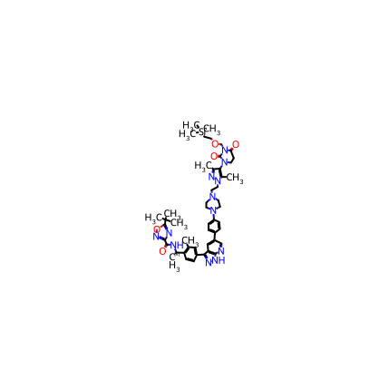 Cc1cc(-c2n[nH]c3ncc(-c4ccc(N5CCN(CCn6nc(C)c(N7CCC(=O)N(COCC[Si](C)(C)C)C7=O)c6C)CC5)cc4)cc23)ccc1[C@@H](C)NC(=O)c1noc(C(C)(C)C)n1